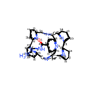 NCCNC(=O)c1cc2nc(c1)C[N@]1CC3=CCCC(=N3)C3=CCCC(=N3)C[N@](C2)Cc2cccc(n2)-c2cccc(n2)C1